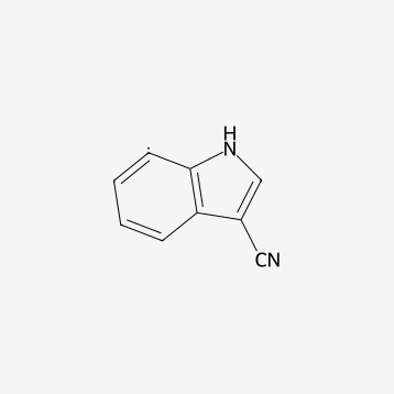 N#Cc1c[nH]c2[c]cccc12